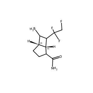 BC1C(C(F)(F)CF)[C@@H]2C(C(N)=O)CC[C@H]12